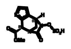 COC(=O)[C@@H]1c2sccc2[C@@H]2CN1C(=O)N2OS(=O)(=O)O